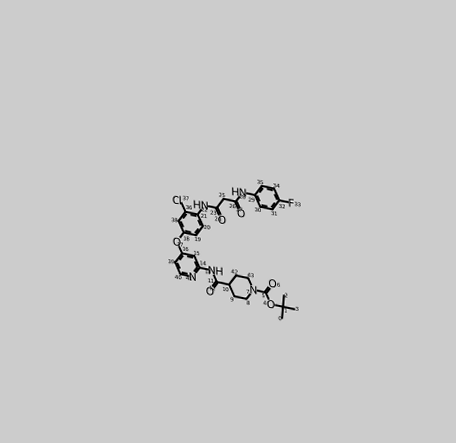 CC(C)(C)OC(=O)N1CCC(C(=O)Nc2cc(Oc3ccc(NC(=O)CC(=O)Nc4ccc(F)cc4)c(Cl)c3)ccn2)CC1